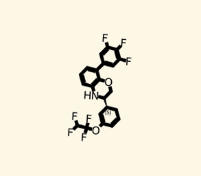 Fc1cc(-c2cccc3c2OCC([C@@H]2C=C(OC(F)(F)C(F)F)C=CC2)N3)cc(F)c1F